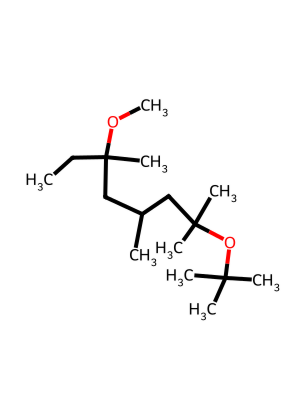 CCC(C)(CC(C)CC(C)(C)OC(C)(C)C)OC